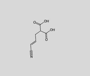 N#CC=CCC(C(=O)O)C(=O)O